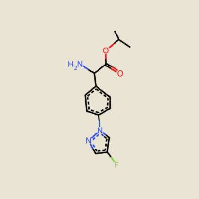 CC(C)OC(=O)C(N)c1ccc(-n2cc(F)cn2)cc1